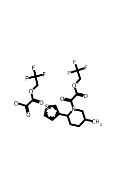 CC1CCC(c2ccsc2)N(C(=O)C(=O)OCC(F)(F)F)C1.O=C(Cl)C(=O)OCC(F)(F)F